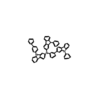 c1ccc(-c2ccc(-n3c4ccccc4c4ccc(N(c5cccc(-c6ccc7c8ccccc8n(-c8ccccc8)c7c6)c5)c5ccc6c(c5)C(c5ccccc5)c5ccccc5-6)cc43)cc2)cc1